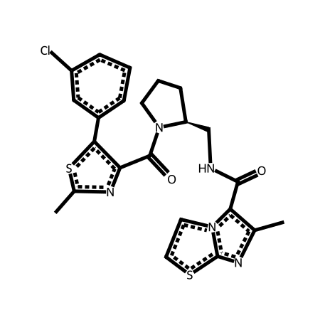 Cc1nc(C(=O)N2CCC[C@H]2CNC(=O)c2c(C)nc3sccn23)c(-c2cccc(Cl)c2)s1